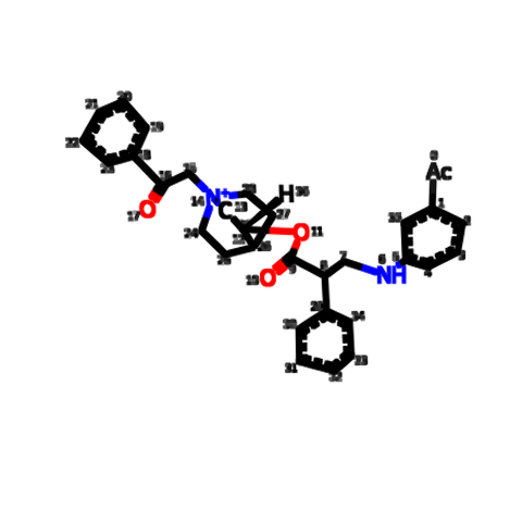 CC(=O)c1cccc(NCC(C(=O)O[C@H]2C[N+]3(CC(=O)c4ccccc4)CCC2CC3)c2ccccc2)c1